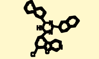 Clc1ccc(C2=NC(c3ccc4ccccc4c3)=NC(c3ccc4ccccc4c3)N2)c2c1oc1cnccc12